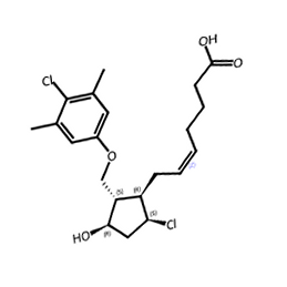 Cc1cc(OC[C@@H]2[C@@H](C/C=C\CCCC(=O)O)[C@@H](Cl)C[C@H]2O)cc(C)c1Cl